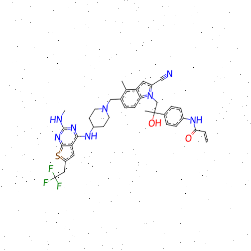 C=CC(=O)Nc1ccc(C(C)(O)Cn2c(C#N)cc3c(C)c(CN4CCC(Nc5nc(NC)nc6sc(CC(F)(F)F)cc56)CC4)ccc32)cc1